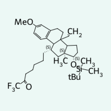 C=CC12CCc3cc(OC)ccc3C1[C@@H](CCCCCC(=O)C(F)(F)F)C[C@@]1(C)C2CC[C@@H]1O[Si](C)(C)C(C)(C)C